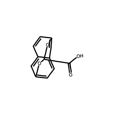 O=C(O)C1Oc2ccc3cc(ccc3c2)O1